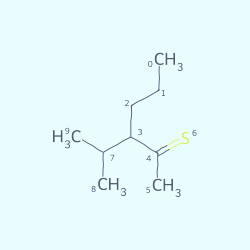 CCCC(C(C)=S)C(C)C